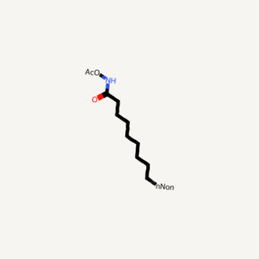 CCCCCCCCCCCCCCCCCC(=O)NOC(C)=O